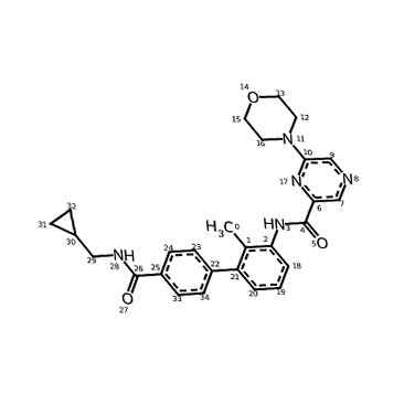 Cc1c(NC(=O)c2cncc(N3CCOCC3)n2)cccc1-c1ccc(C(=O)NCC2CC2)cc1